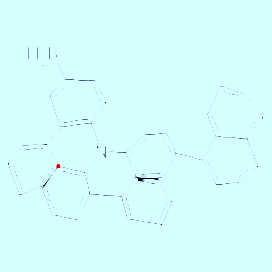 Bc1ccc(N(c2ccc(-c3cccc4ccccc34)cc2)c2ccccc2-c2ccccc2)c(-c2ccccc2)c1